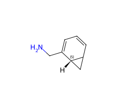 NCC1=CC=CC2C[C@H]12